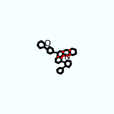 c1ccc(-c2ccccc2-c2c(-c3ccccc3)cccc2N(c2ccccc2)c2ccc(-c3ccc4c(c3)oc3ccccc34)cc2)cc1